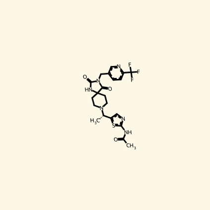 CC(=O)Nc1ncc([C@H](C)N2CCC3(CC2)NC(=O)N(Cc2ccc(C(F)(F)F)nc2)C3=O)s1